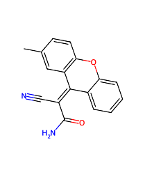 Cc1ccc2c(c1)/C(=C(\C#N)C(N)=O)c1ccccc1O2